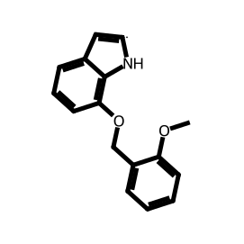 COc1ccccc1COc1cccc2c[c][nH]c12